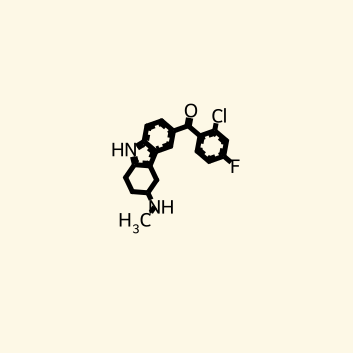 CNC1CCc2[nH]c3ccc(C(=O)c4ccc(F)cc4Cl)cc3c2C1